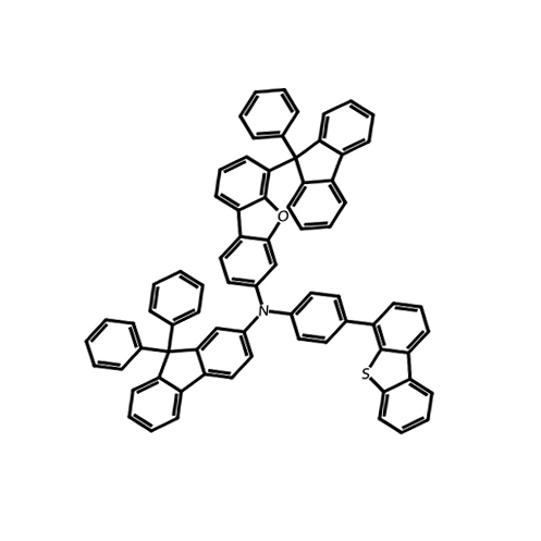 c1ccc(C2(c3ccccc3)c3ccccc3-c3ccc(N(c4ccc(-c5cccc6c5sc5ccccc56)cc4)c4ccc5c(c4)oc4c(C6(c7ccccc7)c7ccccc7-c7ccccc76)cccc45)cc32)cc1